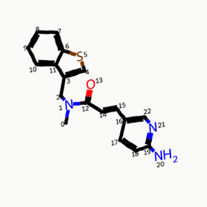 CN(Cc1csc2ccccc12)C(=O)C=Cc1ccc(N)nc1